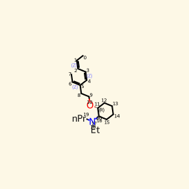 C\C=C/C=C\C(=C/C)CCO[C@@H]1CCCC[C@H]1N(CC)CCC